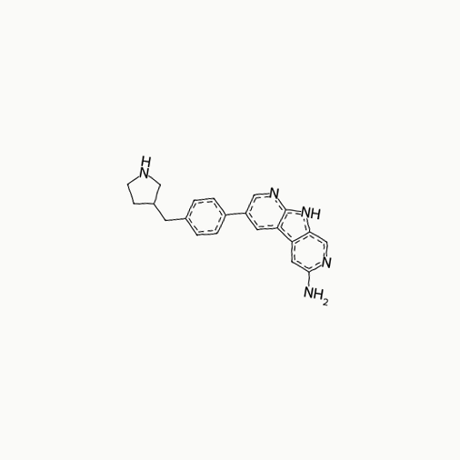 Nc1cc2c(cn1)[nH]c1ncc(-c3ccc(CC4CCNC4)cc3)cc12